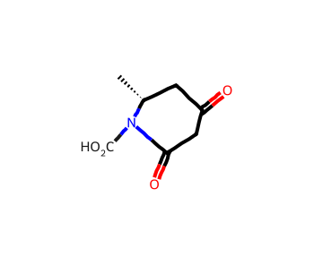 C[C@@H]1CC(=O)CC(=O)N1C(=O)O